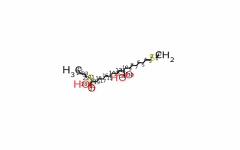 C=CSC=CCCCCCCC(C=CCCCCCCC(SC=CCC)C(=O)O)C(=O)O